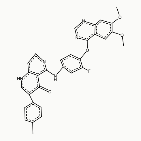 COc1cc2ncnc(Oc3ccc(Nc4nccc5[nH]cc(-c6ccc(C)cc6)c(=O)c45)cc3F)c2cc1OC